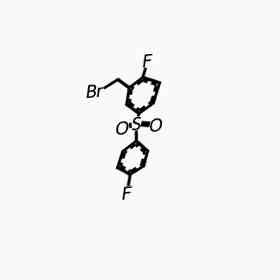 O=S(=O)(c1ccc(F)cc1)c1ccc(F)c(CBr)c1